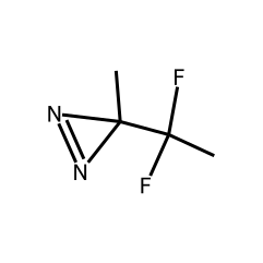 CC(F)(F)C1(C)N=N1